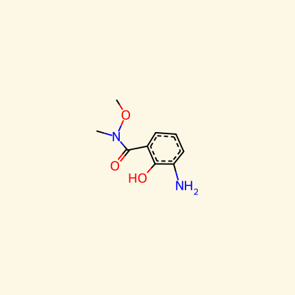 CON(C)C(=O)c1cccc(N)c1O